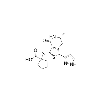 C[C@@H]1Cc2c(-c3cc[nH]n3)sc(SC3(C(=O)O)CCCC3)c2C(=O)N1